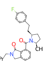 CC(C)CN1Cc2cccc(C(=O)N3[C@@H](CCc4ccc(F)cc4)CC[C@H]3C)c2C1=O